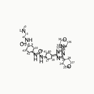 CN(C)CCNC(=O)c1ccc(NC(=O)Nc2ccc(-c3nc(C4CCOCC4)nc(N4C5CCC4COC5)n3)cc2)cc1